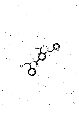 CCC(NC(=O)c1ccc(NCc2cccs2)c([N+](=O)[O-])c1)c1ccccc1